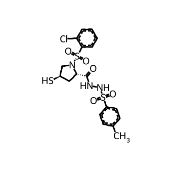 Cc1ccc(S(=O)(=O)NNC(=O)[C@@H]2C[C@@H](S)CN2S(=O)(=O)c2ccccc2Cl)cc1